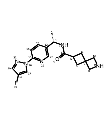 C[C@H](NC(=O)C1CC2(CNC2)C1)c1ccc(-n2cc(F)cn2)nc1